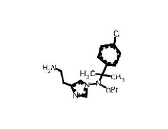 CCCN(n1cnc(CCN)c1)C(C)(C)c1ccc(Cl)cc1